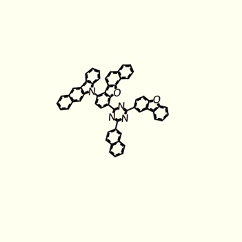 c1ccc2cc(-c3nc(-c4ccc5oc6ccccc6c5c4)nc(-c4ccc(-n5c6ccccc6c6cc7ccccc7cc65)c5c4oc4c6ccccc6ccc45)n3)ccc2c1